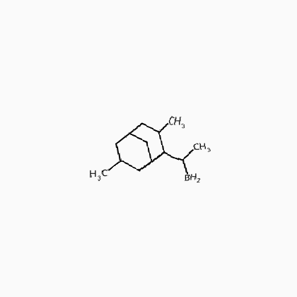 BC(C)C1C(C)CC2CC(C)CC1C2